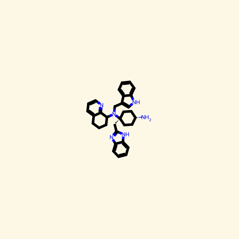 N[C@H]1CC[C@](Cc2nc3ccccc3[nH]2)(N(Cc2c[nH]c3ccccc23)C2CCCc3cccnc32)CC1